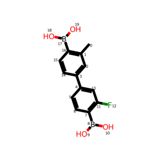 Cc1cc(-c2ccc(B(O)O)c(F)c2)ccc1B(O)O